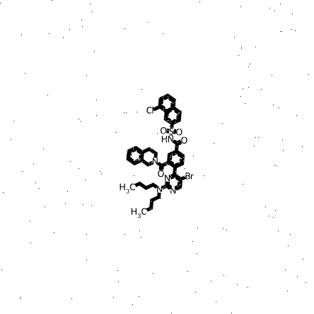 CCCCN(CCCC)c1ncc(Br)c(-c2ccc(C(=O)NS(=O)(=O)c3ccc4cccc(Cl)c4c3)cc2C(=O)N2CCc3ccccc3C2)n1